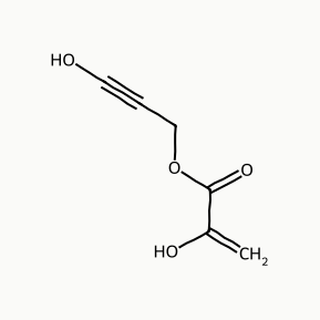 C=C(O)C(=O)OCC#CO